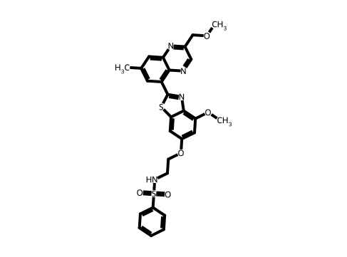 COCc1cnc2c(-c3nc4c(OC)cc(OCCNS(=O)(=O)c5ccccc5)cc4s3)cc(C)cc2n1